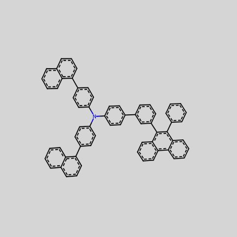 c1ccc(-c2c(-c3cccc(-c4ccc(N(c5ccc(-c6cccc7ccccc67)cc5)c5ccc(-c6cccc7ccccc67)cc5)cc4)c3)c3ccccc3c3ccccc23)cc1